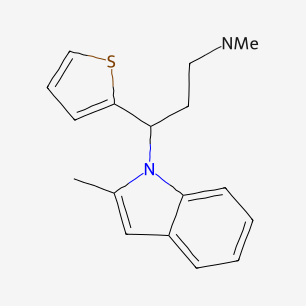 CNCCC(c1cccs1)n1c(C)cc2ccccc21